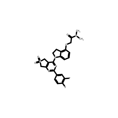 CN(C)C(=O)COc1cccc2c1CCN2c1nc(-c2ccc(F)c(F)c2)nc2c1CS(=O)(=O)C2